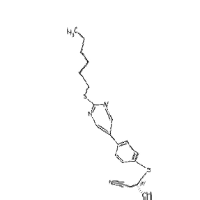 CCCCCCSc1ncc(-c2ccc(S[C@H](C)C#N)cc2)cn1